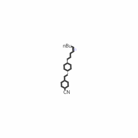 CCCC/C=C\CCC[C@H]1CC[C@H](CCC2CCC(C#N)CC2)CC1